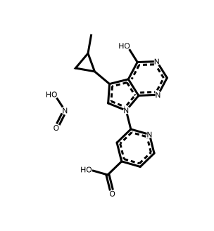 CC1CC1c1cn(-c2cc(C(=O)O)ccn2)c2ncnc(O)c12.O=NO